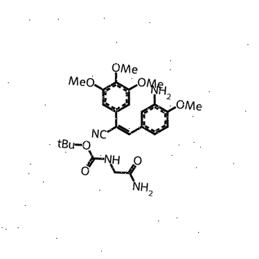 CC(C)(C)OC(=O)NCC(N)=O.COc1ccc(C=C(C#N)c2cc(OC)c(OC)c(OC)c2)cc1N